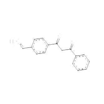 C=Cc1ccc(C(=O)CC(=O)c2ccccc2)cc1